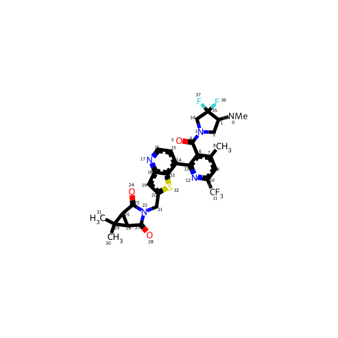 CNC1CN(C(=O)c2c(C)cc(C(F)(F)F)nc2-c2ccnc3cc(CN4C(=O)C5C(C4=O)C5(C)C)sc23)CC1(F)F